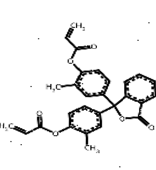 C=CC(=O)Oc1ccc(C2(c3ccc(OC(=O)C=C)c(C)c3)OC(=O)c3ccccc32)cc1C